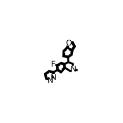 CN1Cc2cc(-c3cccnn3)c(F)cc2C(c2ccc3occc3c2)C1